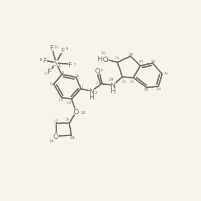 O=C(Nc1cc(S(F)(F)(F)(F)F)ccc1OC1COC1)NC1c2ccccc2CC1O